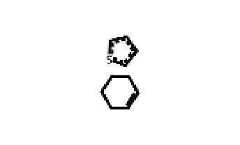 C1=CCCCC1.c1ccsc1